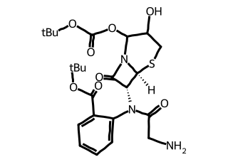 CC(C)(C)OC(=O)OC1C(O)CS[C@H]2[C@H](N(C(=O)CN)c3ccccc3C(=O)OC(C)(C)C)C(=O)N12